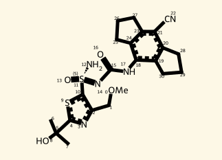 COCc1nc(C(C)(C)O)sc1[S@@](N)(=O)=NC(=O)Nc1c2c(c(C#N)c3c1CCC3)CCC2